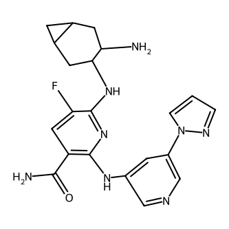 NC(=O)c1cc(F)c(NC2CC3CC3CC2N)nc1Nc1cncc(-n2cccn2)c1